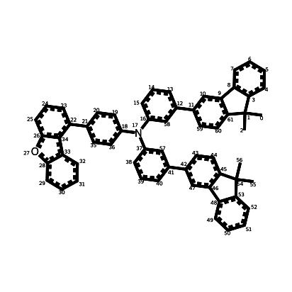 CC1(C)c2ccccc2-c2cc(-c3cccc(N(c4ccc(-c5cccc6oc7ccccc7c56)cc4)c4cccc(-c5ccc6c(c5)-c5ccccc5C6(C)C)c4)c3)ccc21